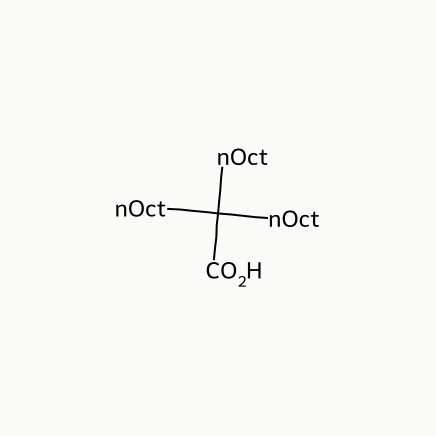 CCCCCCCCC(CCCCCCCC)(CCCCCCCC)C(=O)O